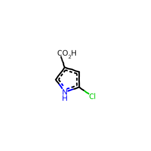 O=C(O)c1c[nH]c(Cl)c1